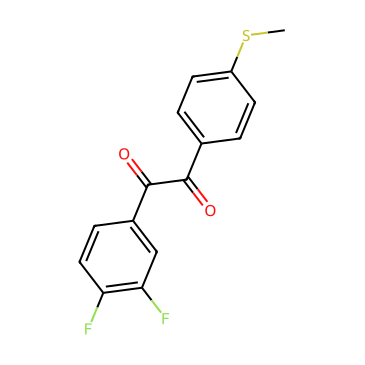 CSc1ccc(C(=O)C(=O)c2ccc(F)c(F)c2)cc1